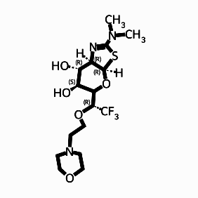 CN(C)C1=N[C@@H]2[C@@H](O)[C@H](O)C([C@@H](OCCN3CCOCC3)C(F)(F)F)O[C@@H]2S1